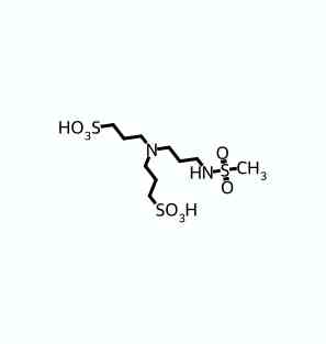 CS(=O)(=O)NCCCN(CCCS(=O)(=O)O)CCCS(=O)(=O)O